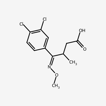 CO/N=C(/c1ccc(Cl)c(Cl)c1)C(C)CC(=O)O